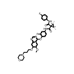 COc1cc2c(Oc3ccc(NC(=O)C4(C(=O)Nc5ccc(F)cc5)[C@H](C)[C@@H]4C)cc3F)ncnc2cc1OCCCN1CCOCC1